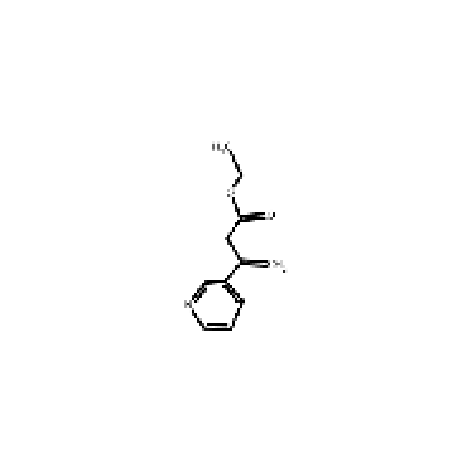 C=C(CC(=O)OCC)c1cccnc1